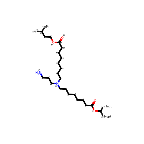 CCCCCCCC(CCCCCCC)OC(=O)CCCCCCCN(CCCN)CCCCCCCC(=O)OCCC(CCC)CCC